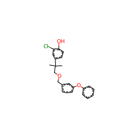 CC(C)(COCc1cccc(Oc2ccccc2)c1)c1ccc(O)c(Cl)c1